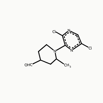 CC1CC(C=O)CCN1c1nc(Cl)cnc1Cl